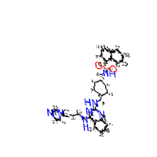 O=S(=O)(NC[C@H]1CC[C@H](CNc2nc(NCCCn3ccnc3)c3ccccc3n2)CC1)c1cccc2ccccc12